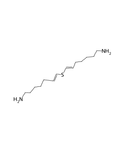 NCCCCCC=CSC=CCCCCCN